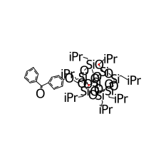 CC(C)C[Si]12O[Si]3(CCCOc4ccc(C(=O)c5ccccc5)cc4)O[Si]4(CC(C)C)O[Si](CC(C)C)(O1)O[Si]1(CC(C)C)O[Si](CC(C)C)(O2)O[Si](CC(C)C)(O3)O[Si](CC(C)C)(O4)O1